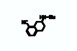 CCC(C)NC1CCc2cccc(C#N)c2C1